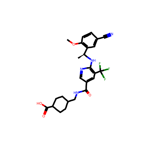 COc1ccc(C#N)cc1[C@H](C)Nc1ncc(C(=O)NCC2CCC(C(=O)O)CC2)cc1C(F)(F)F